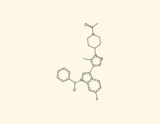 CC(=O)N1CCC(n2ncc(-c3cn([S+]([O-])c4ccccc4)c4cc(F)ccc34)c2C)CC1